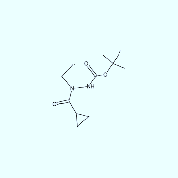 [CH2]CN(NC(=O)OC(C)(C)C)C(=O)C1CC1